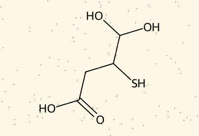 O=C(O)CC(S)C(O)O